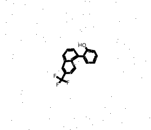 Oc1ccccc1-c1cccc2cc(C(F)(F)F)ccc12